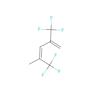 C=C(C=C(C)C(F)(F)F)C(F)(F)F